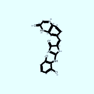 O=C1N=C(Nc2c(Cl)cccc2Cl)SC1=Cc1ccc2ncc(=O)[nH]c2c1